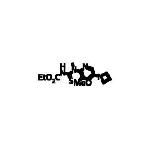 CCOC(=O)NC(=S)N(C)c1ncc(N2CCC2)cc1OC